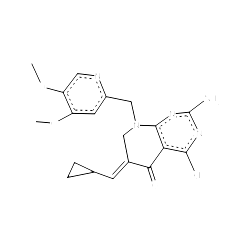 COc1cnc(CN2C/C(=C\C3CC3)C(=O)c3c(Cl)nc(N)nc32)cc1OC